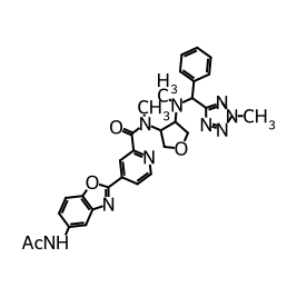 CC(=O)Nc1ccc2oc(-c3ccnc(C(=O)N(C)C4COCC4N(C)C(c4ccccc4)c4nnn(C)n4)c3)nc2c1